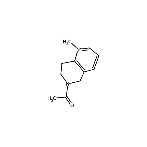 CC(=O)N1CCc2c(ccc[n+]2C)C1